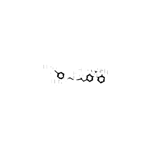 COC(=O)c1ccc(OCCNCC(=O)Cc2ccc(N(C(N)=O)c3ccccc3C)c(OC)c2)c(N)c1